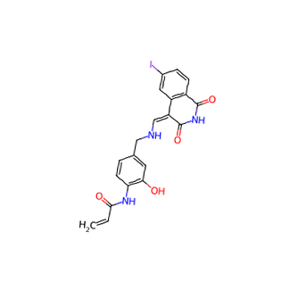 C=CC(=O)Nc1ccc(CNC=C2C(=O)NC(=O)c3ccc(I)cc32)cc1O